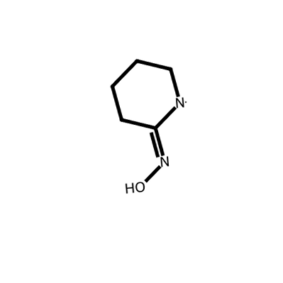 ON=C1CCCC[N]1